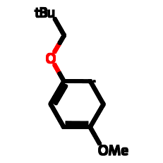 COC1=CC=C(OCC(C)(C)C)[CH]C1